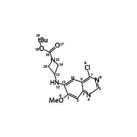 COc1cc2ncnc(Cl)c2cc1NC1CN(C(=O)OC(C)(C)C)C1